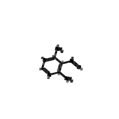 Nc1ncnc(N)c1N=O